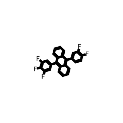 Fc1ccc(-c2c3ccccc3c(-c3cc(F)c(F)c(F)c3)c3ccccc23)cc1F